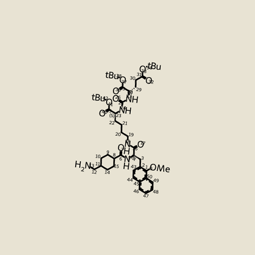 COc1c(C[C@@H](NC(=O)C2CCC(CN)CC2)C(=O)NCCCC[C@H](NC(=O)N[C@@H](CCC(=O)OC(C)(C)C)C(=O)OC(C)(C)C)C(=O)OC(C)(C)C)ccc2ccccc12